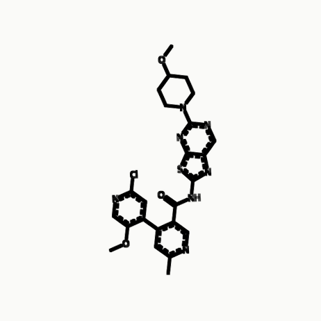 COc1cnc(Cl)cc1-c1cc(C)ncc1C(=O)Nc1nc2cnc(N3CCC(OC)CC3)nc2s1